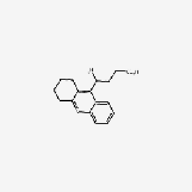 NC(CCC(=O)O)c1c2c(nc3ccccc13)CCCC2